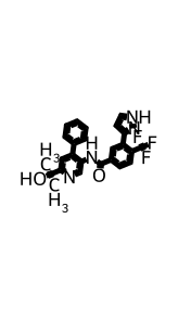 CC(C)(O)c1cc(-c2ccccc2)c(NC(=O)c2ccc(C(F)(F)F)c(-c3cc[nH]n3)c2)cn1